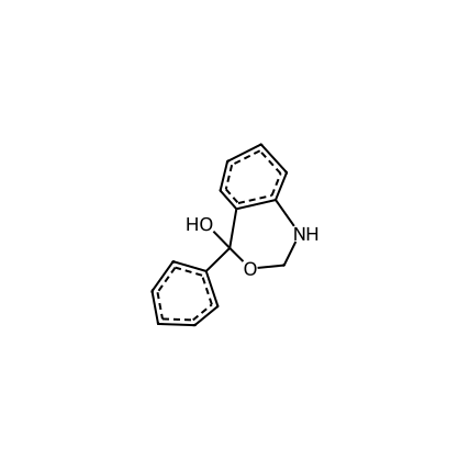 OC1(c2ccccc2)OCNc2ccccc21